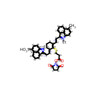 CCn1/c(=C\C=C2/CCCC(/C=C/C3=[N+](CC)c4ccc(C)c5cccc3c45)=C2SCCC(=O)ON2C(=O)CCC2=O)c2cccc3c(S(=O)(=O)O)ccc1c32